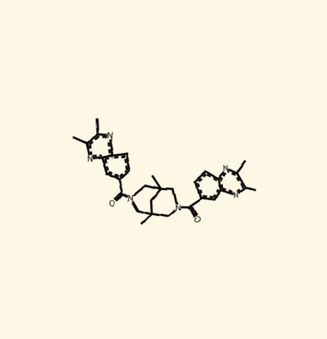 Cc1nc2ccc(C(=O)N3CC4(C)CN(C(=O)c5ccc6nc(C)c(C)nc6c5)CC(C)(C3)C4)cc2nc1C